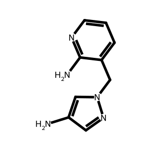 Nc1cnn(Cc2cccnc2N)c1